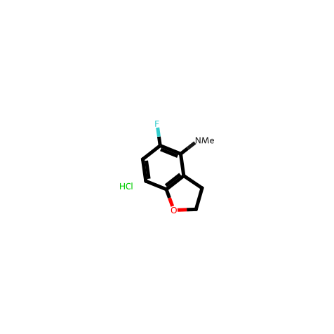 CNc1c(F)ccc2c1CCO2.Cl